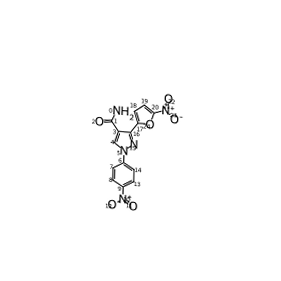 NC(=O)c1cn(-c2ccc([N+](=O)[O-])cc2)nc1-c1ccc([N+](=O)[O-])o1